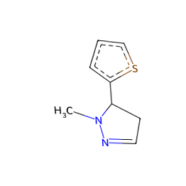 CN1N=CCC1c1cccs1